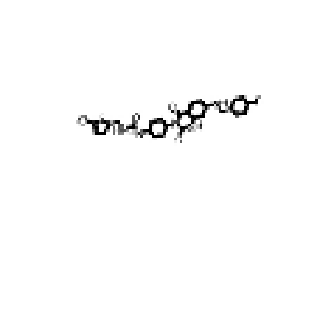 O=C(NCC1CC=C(Cl)S1)Nc1ccc(-n2c(=O)[nH]c3cc(NCc4ccc(F)cc4)ccc3c2=O)cc1